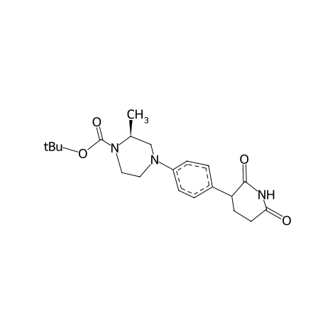 C[C@H]1CN(c2ccc(C3CCC(=O)NC3=O)cc2)CCN1C(=O)OC(C)(C)C